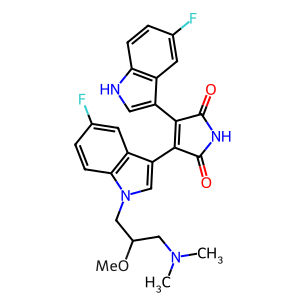 COC(CN(C)C)Cn1cc(C2=C(c3c[nH]c4ccc(F)cc34)C(=O)NC2=O)c2cc(F)ccc21